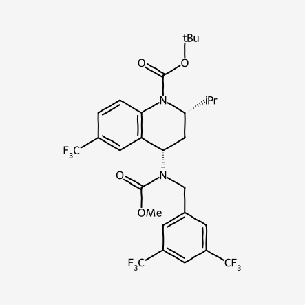 COC(=O)N(Cc1cc(C(F)(F)F)cc(C(F)(F)F)c1)[C@H]1C[C@@H](C(C)C)N(C(=O)OC(C)(C)C)c2ccc(C(F)(F)F)cc21